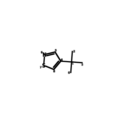 CC(C)(C)c1cnsc1